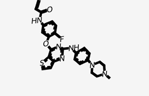 C=CC(=O)Nc1ccc(F)c(Oc2nc(Nc3ccc(N4CCN(C)CC4)cc3)nc3ccsc23)c1